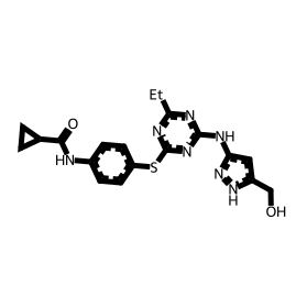 CCc1nc(Nc2cc(CO)[nH]n2)nc(Sc2ccc(NC(=O)C3CC3)cc2)n1